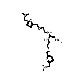 CN(C)Cc1ccc(CSCCNC(=C[N+](=O)[O-])NCCSCc2ccc(CN(C)C)s2)o1